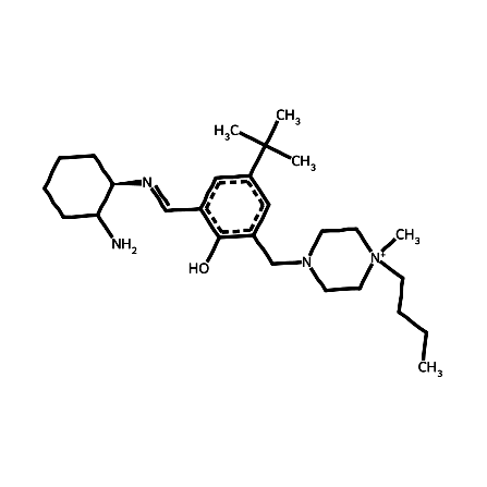 CCCC[N+]1(C)CCN(Cc2cc(C(C)(C)C)cc(/C=N/[C@@H]3CCCCC3N)c2O)CC1